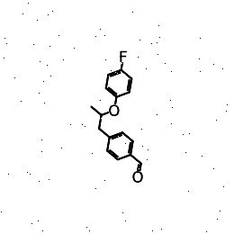 CC(Cc1ccc(C=O)cc1)Oc1ccc(F)cc1